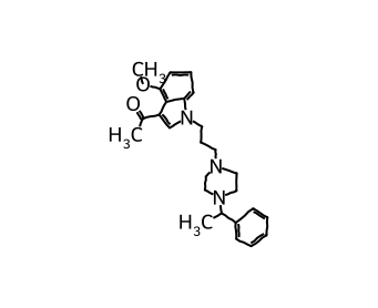 COc1cccc2c1c(C(C)=O)cn2CCCN1CCN(C(C)c2ccccc2)CC1